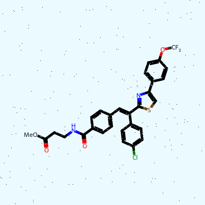 COC(=O)CCNC(=O)c1ccc(/C=C(\c2ccc(Cl)cc2)c2nc(-c3ccc(OC(F)(F)F)cc3)cs2)cc1